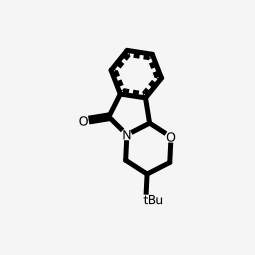 CC(C)(C)C1COC2c3ccccc3C(=O)N2C1